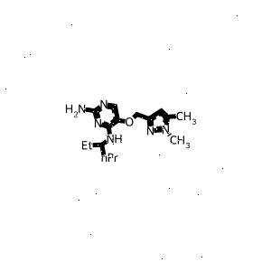 CCCC(CC)Nc1nc(N)ncc1OCc1cc(C)n(C)n1